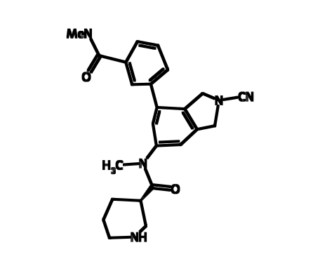 CNC(=O)c1cccc(-c2cc(N(C)C(=O)[C@@H]3CCCNC3)cc3c2CN(C#N)C3)c1